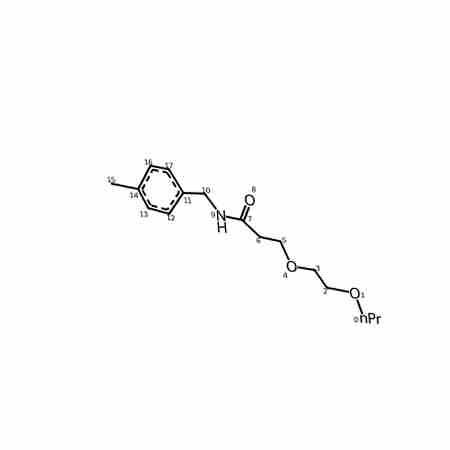 CCCOCCOCCC(=O)NCc1ccc(C)cc1